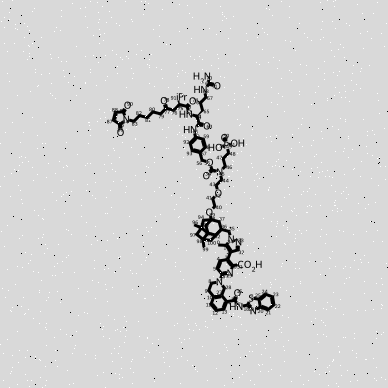 Cc1c(-c2ccc(N3CCc4cccc(C(=O)Nc5nc6ccccc6s5)c4C3)nc2C(=O)O)cnn1CC12CC3(OCCOCCN(CCCP(=O)(O)O)C(=O)OCc4ccc(NC(=O)[C@H](CCCNC(N)=O)NC(=O)[C@@H](CC(=O)CCCCCN5C(=O)C=CC5=O)C(C)C)cc4)CC4(C)CC(C)(C1)C4(C2)C3